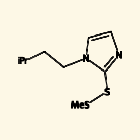 CSSc1nccn1CCC(C)C